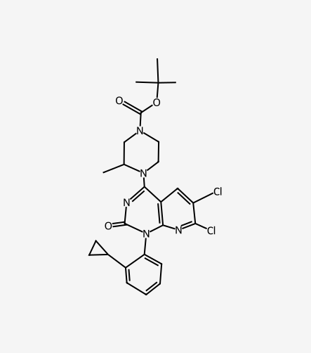 CC1CN(C(=O)OC(C)(C)C)CCN1c1nc(=O)n(-c2ccccc2C2CC2)c2nc(Cl)c(Cl)cc12